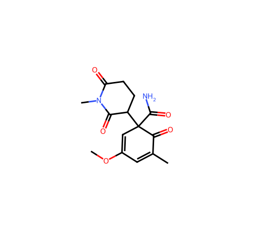 COC1=CC(C(N)=O)(C2CCC(=O)N(C)C2=O)C(=O)C(C)=C1